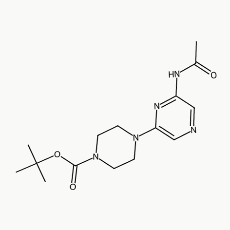 CC(=O)Nc1cncc(N2CCN(C(=O)OC(C)(C)C)CC2)n1